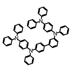 c1ccc(N(c2ccccc2)c2ccc(N(c3ccccc3)c3ccc(-c4cccc(N(c5ccccc5)c5ccc(N(c6ccccc6)c6ccccc6)cc5)c4)cc3)cc2)cc1